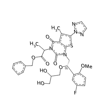 COc1ccc(F)cc1[C@@H](Cn1c(=O)n(C(C)C(=O)OCc2ccccc2)c(=O)c2c(C)c(-n3nccn3)sc21)OCC(O)CO